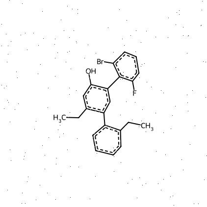 CCc1ccccc1-c1cc(-c2c(F)cccc2Br)c(O)cc1CC